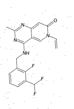 C=Cn1cc2c(NCc3cccc(C(F)F)c3F)nc(C)nc2cc1=O